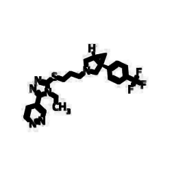 CCn1c(SCCCN2C[C@@H]3C[C@]3(c3ccc(C(F)(F)F)cc3)C2)nnc1-c1ccnnc1